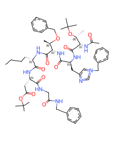 CCCC[C@H](NC(=O)[C@@H](NC(=O)[C@H](Cc1cn(Cc2ccccc2)cn1)NC(=O)[C@@H](NC(C)=O)[C@@H](C)OC(C)(C)C)[C@@H](C)OCc1ccccc1)C(=O)N[C@@H](CC(=O)OC(C)(C)C)C(=O)NCC(=O)NCc1ccccc1